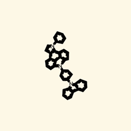 c1ccc(-n2ccc3c4cccc5c4c4c(cccc4n5-c4ccc(-n5c6ccccc6c6ccccc65)cc4)c32)cc1